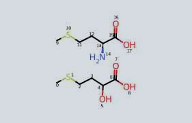 CSCCC(O)C(=O)O.CSCC[C@H](N)C(=O)O